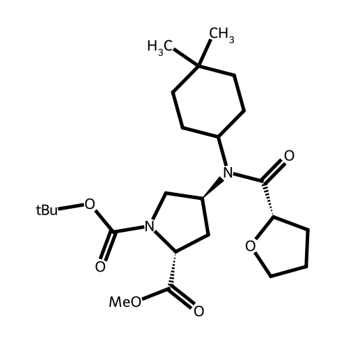 COC(=O)[C@H]1C[C@H](N(C(=O)[C@@H]2CCCO2)C2CCC(C)(C)CC2)CN1C(=O)OC(C)(C)C